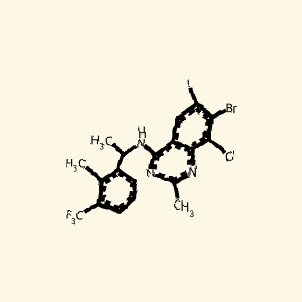 Cc1nc(NC(C)c2cccc(C(F)(F)F)c2C)c2cc(I)c(Br)c(Cl)c2n1